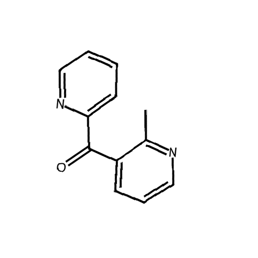 Cc1ncccc1C(=O)c1ccccn1